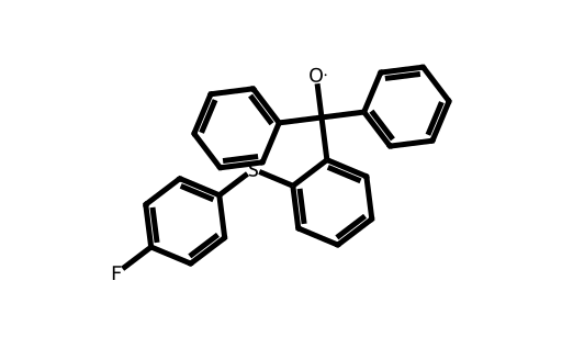 [O]C(c1ccccc1)(c1ccccc1)c1ccccc1Sc1ccc(F)cc1